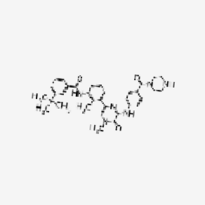 Cc1c(NC(=O)c2cccc(C(C)(C)C)c2)cccc1-c1cn(C)c(=O)c(Nc2ccc(C(=O)N3CCNCC3)cc2)n1